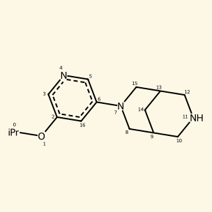 CC(C)Oc1cncc(N2CC3CNCC(C3)C2)c1